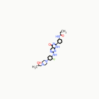 C=CC(=O)Nc1cccc(-c2nc(=O)c3cnc(Nc4ccc(N5CCN(C[C@H](C)O)CC5)cc4F)nc3[nH]2)c1